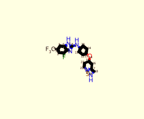 Fc1cc(C(F)(F)F)cc2[nH]c(Nc3ccc(OC4=CC5=CNSN5C=C4)cc3)nc12